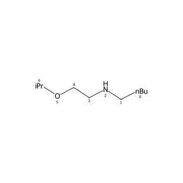 CCCCCNCCOC(C)C